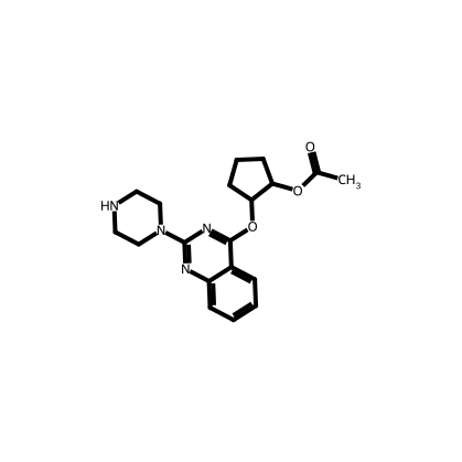 CC(=O)OC1CCCC1Oc1nc(N2CCNCC2)nc2ccccc12